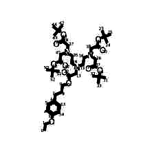 CCOc1ccc(CCCOC(=O)CN(CCN(CC(=O)OC(C)(C)C)CC(=O)OC(C)(C)C)CCN(CC(=O)OC(C)(C)C)CC(=O)OC(C)(C)C)cc1